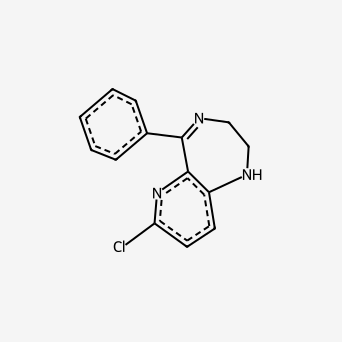 Clc1ccc2c(n1)C(c1ccccc1)=NCCN2